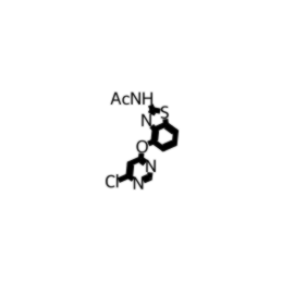 CC(=O)Nc1nc2c(Oc3cc(Cl)ncn3)cccc2s1